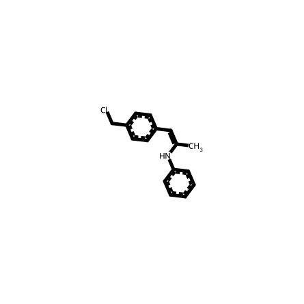 CC(=Cc1ccc(CCl)cc1)Nc1ccccc1